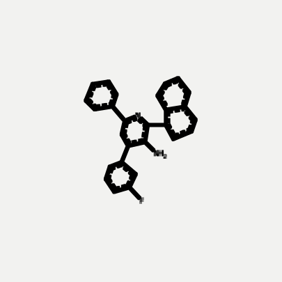 Nc1c(-c2cccc(F)c2)cc(-c2ccccc2)nc1-c1cccc2ccccc12